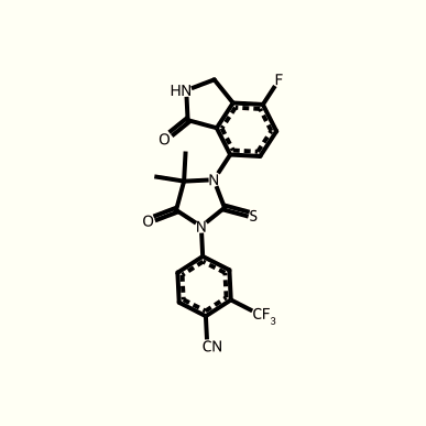 CC1(C)C(=O)N(c2ccc(C#N)c(C(F)(F)F)c2)C(=S)N1c1ccc(F)c2c1C(=O)NC2